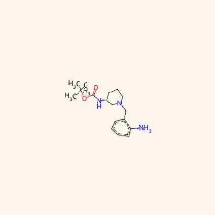 CC(C)(C)OC(=O)N[C@H]1CCCN(Cc2ccccc2N)C1